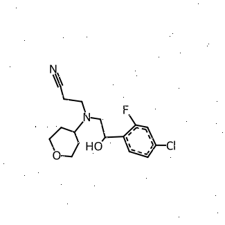 N#CCCN(CC(O)c1ccc(Cl)cc1F)C1CCOCC1